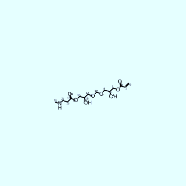 C=CC(=O)OCC(O)COCOCC(O)COC(=O)CCNC